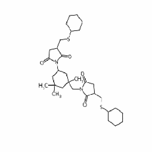 CC1(C)CC(N2C(=O)CC(CSC3CCCCC3)C2=O)CC(C)(CN2C(=O)CC(CSC3CCCCC3)C2=O)C1